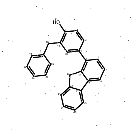 Oc1ccc(-c2cccc3c2Cc2ccccc2-3)cc1Cc1ccccc1